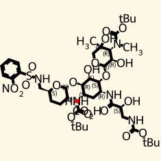 CN(C(=O)OC(C)(C)C)[C@@H]1[C@@H](O)[C@@H](O[C@@H]2[C@@H](O)[C@H](O[C@H]3O[C@H](CNS(=O)(=O)c4ccccc4[N+](=O)[O-])CC[C@H]3NC(=O)O)[C@@H](NC(=O)OC(C)(C)C)C[C@H]2NC(=O)[C@@H](O)CNC(=O)OC(C)(C)C)OC[C@]1(C)O